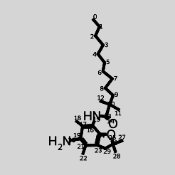 CCCCCCCCCCC(C)(C)C(=O)Nc1c(C)c(N)c(C)c2c1OC(C)(C)C2